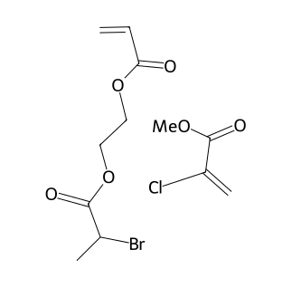 C=C(Cl)C(=O)OC.C=CC(=O)OCCOC(=O)C(C)Br